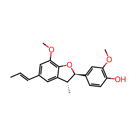 C/C=C/c1cc(OC)c2c(c1)[C@@H](C)[C@H](c1ccc(O)c(OC)c1)O2